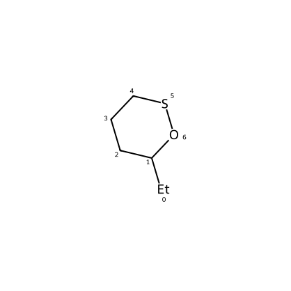 CCC1CCCSO1